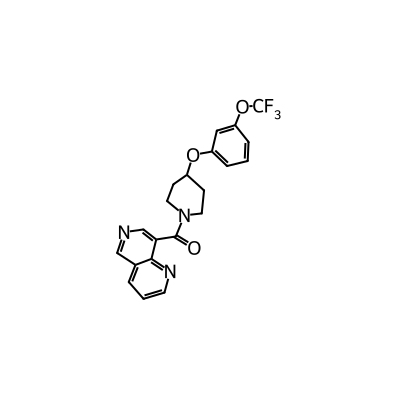 O=C(c1cncc2cccnc12)N1CCC(Oc2cccc(OC(F)(F)F)c2)CC1